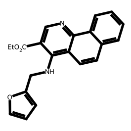 CCOC(=O)c1cnc2c(ccc3ccccc32)c1NCc1ccco1